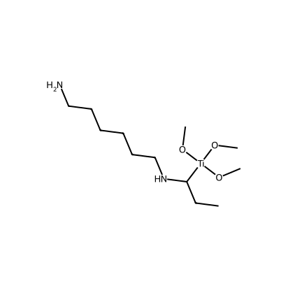 CC[CH](NCCCCCCN)[Ti]([O]C)([O]C)[O]C